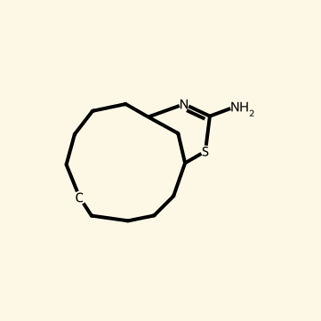 NC1=NC2CCCCCCCCCC(C2)S1